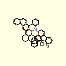 CC1(c2ccccc2)c2ccccc2-c2ccc(N(c3ccccc3-c3cccc4c3ccc3ccccc34)c3ccccc3-c3cccc4cccc(C5CCCCC5)c34)cc21